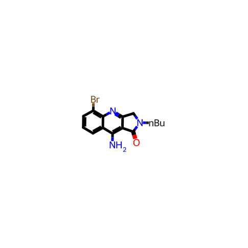 CCCCN1Cc2nc3c(Br)cccc3c(N)c2C1=O